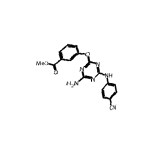 COC(=O)c1cccc(Oc2nc(N)nc(Nc3ccc(C#N)cc3)n2)c1